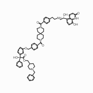 O=C(c1ccc(CCNC[C@H](O)c2ccc(O)c3[nH]c(=O)ccc23)cc1)N1CCC2(CC1)CCN(C(=O)c1ccc(COc3cccc([C@](O)(C(=O)OCC4CCN(Cc5ccccc5)CC4)c4ccccc4)c3)cc1)CC2